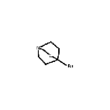 CCC(C)C12CCN(CC1)CC2